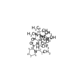 CCC(CC)N1CCCCC1C(=O)NC(C(=O)N(C)C(/C=C(\C)C(=O)O)C(C)C)C(C)(C)C